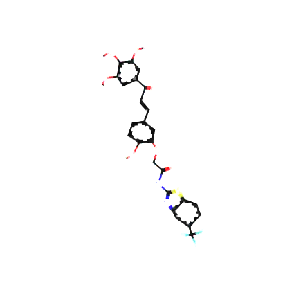 COc1ccc(/C=C/C(=O)c2cc(OC)c(OC)c(OC)c2)cc1OCC(=O)Nc1nc2cc(C(F)(F)F)ccc2s1